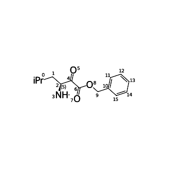 CC(C)C[C@H]([NH])C(=O)C(=O)OCc1ccccc1